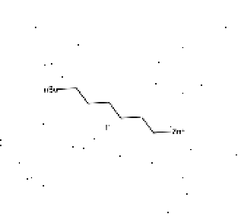 CCCCCCCCC[CH2][Zn+].[I-]